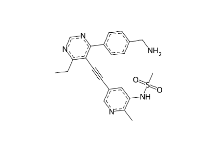 CCc1ncnc(-c2ccc(CN)cc2)c1C#Cc1cnc(C)c(NS(C)(=O)=O)c1